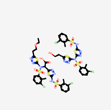 CCOCCc1nnc(N(C(C(=O)O)c2nnc(NS(=O)(=O)c3cccc(Cl)c3C)s2)S(=O)(=O)c2cccc(Cl)c2C)s1.Cc1c(Cl)cccc1S(=O)(=O)Nc1nnc(N(c2nnc(CCO)s2)S(=O)(=O)c2cccc(Cl)c2C)s1